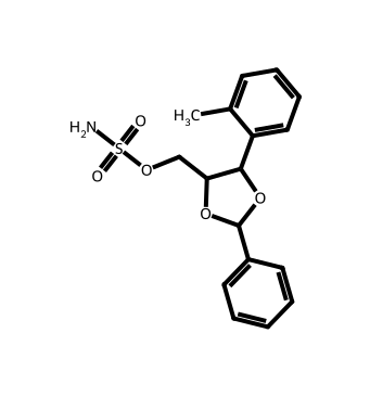 Cc1ccccc1C1OC(c2ccccc2)OC1COS(N)(=O)=O